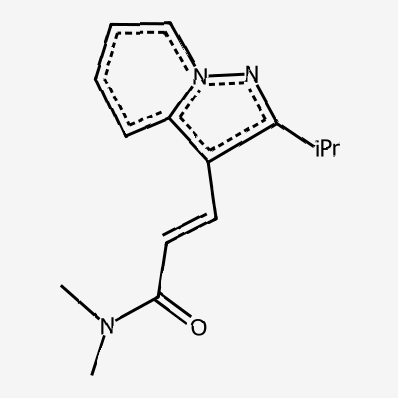 CC(C)c1nn2ccccc2c1C=CC(=O)N(C)C